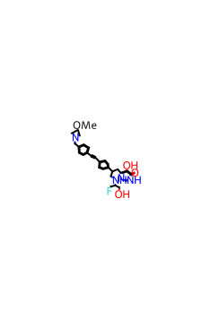 COC1CN(Cc2ccc(C#Cc3ccc(C(CNC(CO)CF)Cc4nc[nH]c(=O)c4O)cc3)cc2)C1